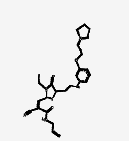 C=CCNC(=O)C(C#N)CC1SC(CCNc2cccc(OCCN3CCCC3)c2)C(=O)N1CC